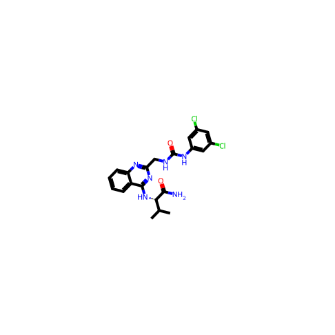 CC(C)[C@H](Nc1nc(CNC(=O)Nc2cc(Cl)cc(Cl)c2)nc2ccccc12)C(N)=O